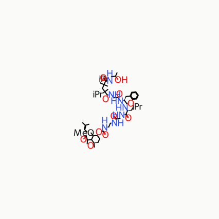 COC1C(OC(=O)NCCNC(=O)CNC(=O)[C@H](CC(C)C)NC(=O)[C@H](Cc2ccccc2)NC(=O)CNC(=O)C(C)(CC(C)(CC(C)C)C(=O)NCC(C)O)C(C)C)CC[C@]2(CO2)C1C1(C)O[C@@H]1CC=C(C)C